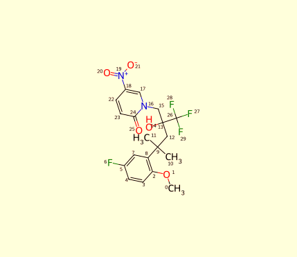 COc1ccc(F)cc1C(C)(C)CC(O)(Cn1cc([N+](=O)[O-])ccc1=O)C(F)(F)F